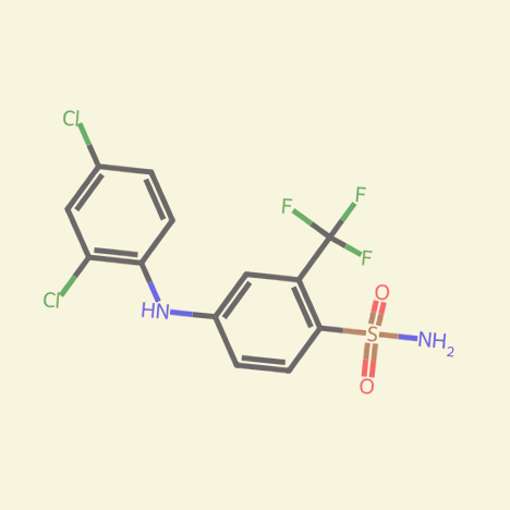 NS(=O)(=O)c1ccc(Nc2ccc(Cl)cc2Cl)cc1C(F)(F)F